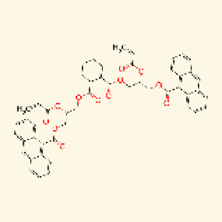 C=CC(=O)OC(COC(=O)c1c2ccccc2cc2ccccc12)COC(=O)C1CCCCC1C(=O)OCC(COC(=O)c1c2ccccc2cc2ccccc12)OC(=O)C=C